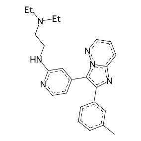 CCN(CC)CCNc1cc(-c2c(-c3cccc(C)c3)nc3cccnn23)ccn1